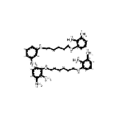 Cc1cccc(OCCCCCCOc2cccc(N)c2)c1N.Cc1cccc(OCCCCCCOc2cccc(N)c2C)c1N